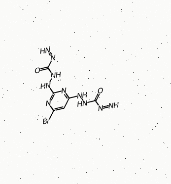 N=NC(=O)NNc1cc(Br)nc(NNC(=O)N=N)n1